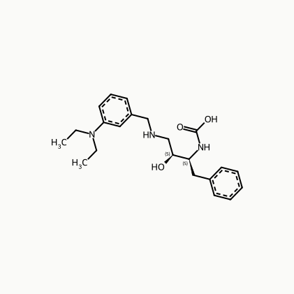 CCN(CC)c1cccc(CNC[C@H](O)[C@H](Cc2ccccc2)NC(=O)O)c1